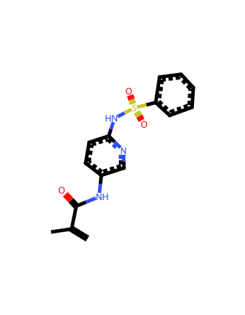 C=C(C)C(=O)Nc1ccc(NS(=O)(=O)c2ccccc2)nc1